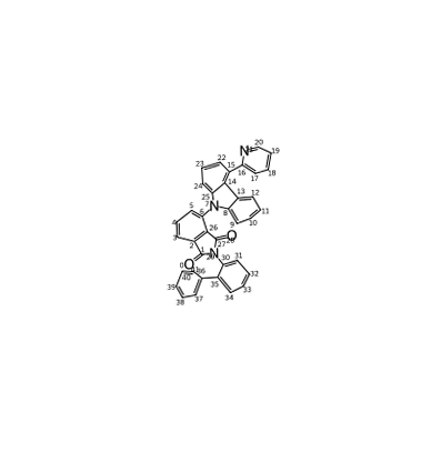 O=C1c2cccc(-n3c4ccccc4c4c(-c5ccccn5)cccc43)c2C(=O)N1c1ccccc1-c1ccccc1